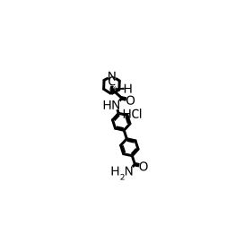 Cl.NC(=O)c1ccc(-c2ccc(NC(=O)[C@H]3CN4CCC3CC4)cc2)cc1